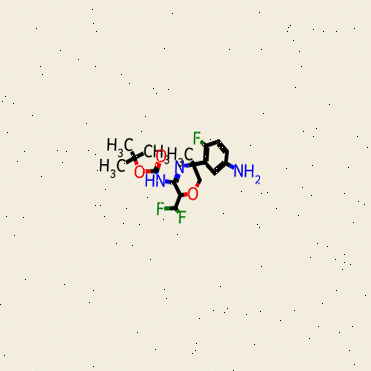 CC(C)(C)OC(=O)NC1=NC(C)(c2cc(N)ccc2F)COC1C(F)F